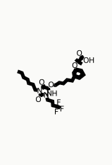 CCCCCCCN1C(=O)C(OCCCCCc2cccc(OC(C)(C)C(=O)O)c2)NN(CCCC(F)(F)F)C1=O